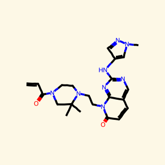 C=CC(=O)N1CCN(CCn2c(=O)ccc3cnc(Nc4cnn(C)c4)nc32)C(C)(C)C1